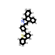 c1cc(-c2cc3c4ccccc4c4ccccc4c3cn2)cc(-c2cccc3c2sc2ccccc23)c1